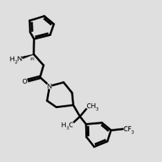 CC(C)(c1cccc(C(F)(F)F)c1)C1CCN(C(=O)C[C@@H](N)c2ccccc2)CC1